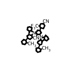 Cc1ccccc1-c1ccc2c(c1)c1ccccc1n2-c1cc(-c2ccc(C#N)cc2C(F)(F)F)cc(-n2c3ccccc3c3cc(-c4ccccc4C)ccc32)c1C#N